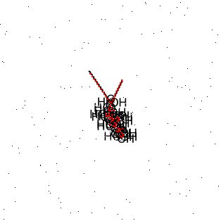 CCCCCCCCCCCCC/C=C/[C@@H](O)[C@H](CO[C@@H]1OC(CO)[C@@H](O[C@@H]2OC(CO)[C@H](O)[C@H](O[C@@H]3OC(CO)[C@@H](O[C@@H]4OC(CO)[C@H](O)[C@H](O[C@@H]5OC(CO)[C@@H](O)[C@H](O[C@@H]6OC(CO)[C@H](O)[C@H](O)C6O)C5NC(C)=O)C4O)[C@H](O[C@H]4OC(C)[C@@H](O)C(O)[C@@H]4O)C3NC(C)=O)C2O)[C@H](O)C1O)NC(=O)CCCCCCCCCCCCCCCCCCCCCCC